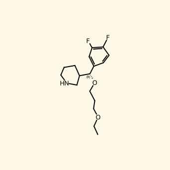 CCOCCCO[C@@H](c1ccc(F)c(F)c1)C1CCCNC1